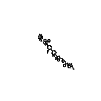 CNC(=O)COC[C@@H]1CC(c2ccc(-c3ccc(N4C[C@H](Cn5ccnn5)OC4=O)cc3F)cn2)=NO1